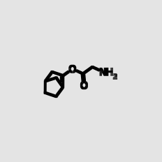 NCC(=O)OC1=C2CCC(C2)C1